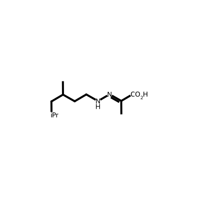 CC(=NNCCC(C)CC(C)C)C(=O)O